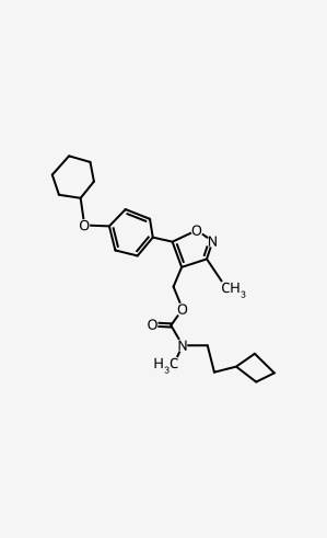 Cc1noc(-c2ccc(OC3CCCCC3)cc2)c1COC(=O)N(C)CCC1CCC1